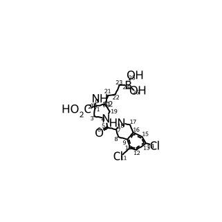 N[C@@]1(C(=O)O)CN(C(=O)C2Cc3c(Cl)cc(Cl)cc3CN2)C[C@@H]1CCCB(O)O